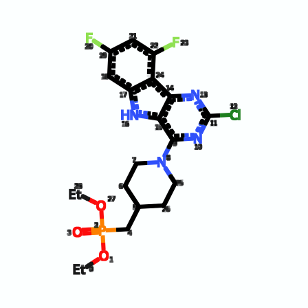 CCOP(=O)(CC1CCN(c2nc(Cl)nc3c2[nH]c2cc(F)cc(F)c23)CC1)OCC